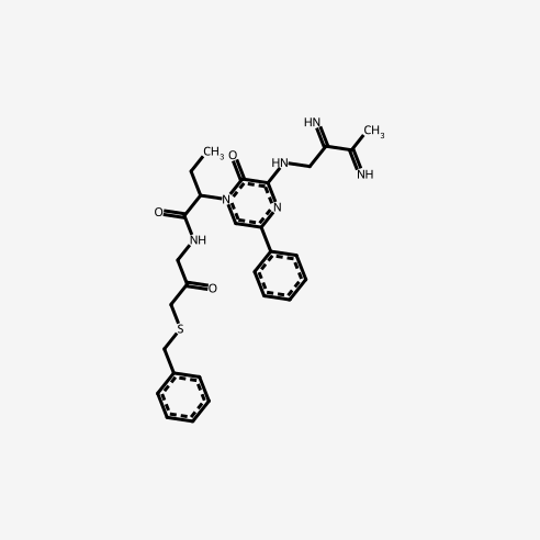 CCC(C(=O)NCC(=O)CSCc1ccccc1)n1cc(-c2ccccc2)nc(NCC(=N)C(C)=N)c1=O